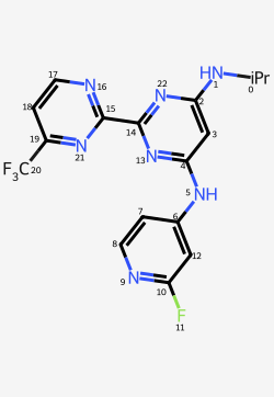 CC(C)Nc1cc(Nc2ccnc(F)c2)nc(-c2nccc(C(F)(F)F)n2)n1